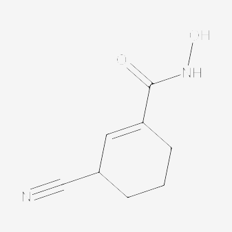 N#CC1C=C(C(=O)NO)CCC1